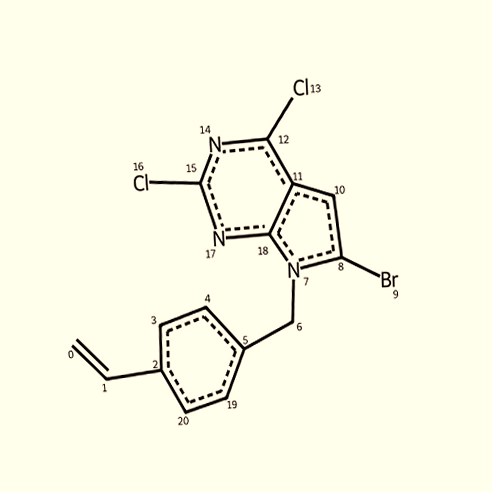 C=Cc1ccc(Cn2c(Br)cc3c(Cl)nc(Cl)nc32)cc1